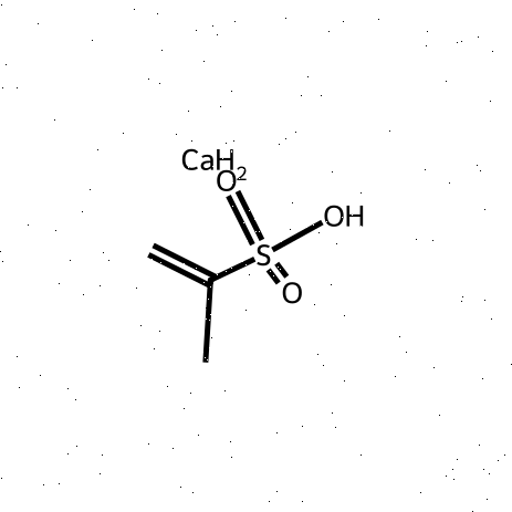 C=C(C)S(=O)(=O)O.[CaH2]